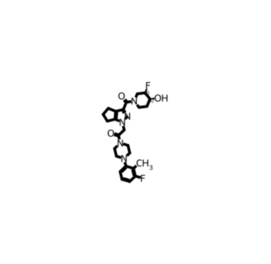 Cc1c(F)cccc1N1CCN(C(=O)Cn2nc(C(=O)N3CC[C@H](O)[C@H](F)C3)c3c2CCC3)CC1